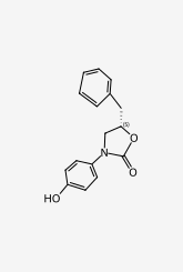 O=C1O[C@@H](Cc2ccccc2)CN1c1ccc(O)cc1